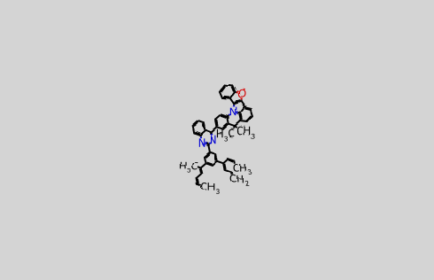 C=C/C=C(\C=C/C)c1cc(/C(C)=C/C=C\C)cc(-c2nc(-c3ccc4c(c3)C(C)(C)c3cccc5c6oc7ccccc7c6n-4c35)c3ccccc3n2)c1